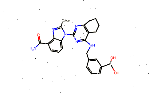 COc1nc2c(C(N)=O)cccc2n1-c1nc2c(c(NCc3cccc(B(O)O)c3)n1)CCCC2